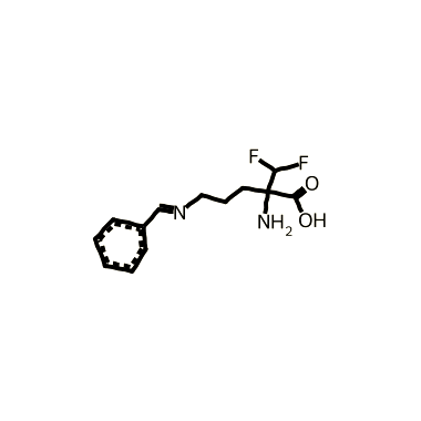 NC(CCCN=Cc1ccccc1)(C(=O)O)C(F)F